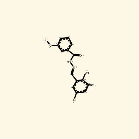 O=C(NN=Cc1cc(Cl)cc(Cl)c1O)c1cccc(OC(F)(F)F)c1